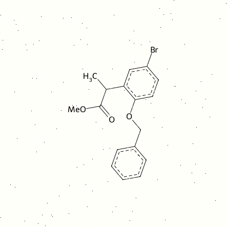 COC(=O)C(C)c1cc(Br)ccc1OCc1ccccc1